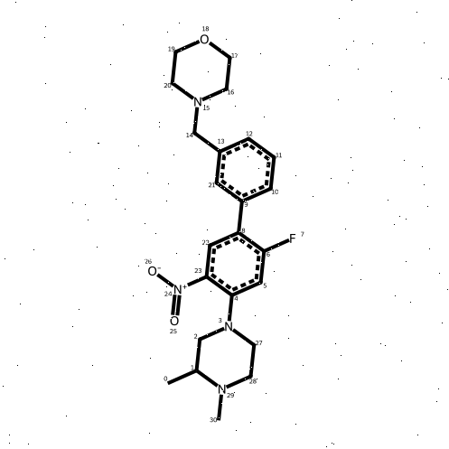 CC1CN(c2cc(F)c(-c3cccc(CN4CCOCC4)c3)cc2[N+](=O)[O-])CCN1C